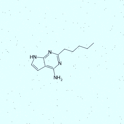 CCCCCc1nc(N)c2cc[nH]c2n1